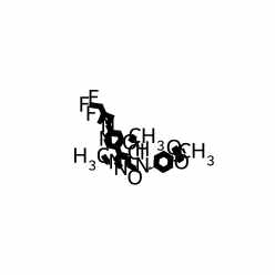 CCn1nc(C(=O)NC[C@H]2CC[C@H](S(C)(=O)=O)CC2)c(Cl)c1-c1cnc(N2CC(CC(F)(F)F)C2)cc1OC